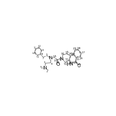 CN(C)CCN(CCc1ccccc1)CC(=O)N1CCc2c([nH]c(=O)c3ccccc23)C1